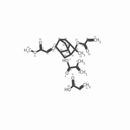 C=C(C)C(=O)O.C=CC(=O)O.C=CC(=O)OC.C=CC(=O)OC1(C)C2CC3CC(C2)CC1C3